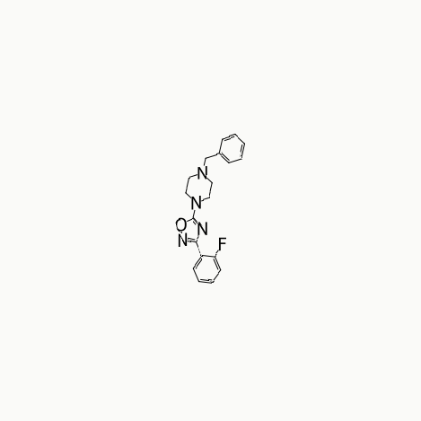 Fc1ccccc1-c1noc(N2CCN(Cc3ccccc3)CC2)n1